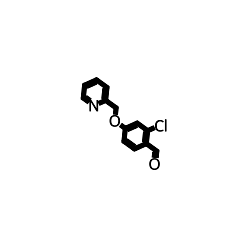 O=Cc1ccc(OCc2ccccn2)cc1Cl